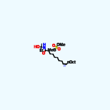 CCCCCCCC/C=C\CCCCCCCC(=O)NC(C)(O)CC.COS(=O)(=O)OC